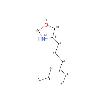 CCCC(CC)CCCC1COCN1